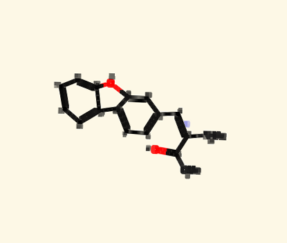 COC(=O)/C(=C\c1ccc2c(c1)oc1ccccc12)NC(C)=O